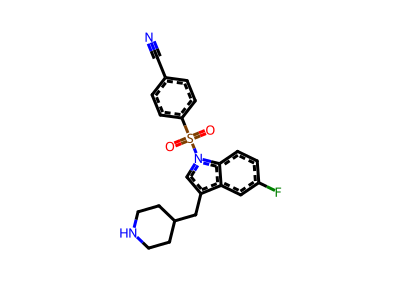 N#Cc1ccc(S(=O)(=O)n2cc(CC3CCNCC3)c3cc(F)ccc32)cc1